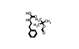 CC(C)(C)OC=O.O=C(O)NCCc1ccccc1